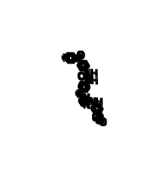 CN1CCN(C(=O)c2ccc(NC(=O)Nc3ccc(N(C)c4ccnc(Nc5ccc(CS(C)(=O)=O)cc5)n4)cc3)cc2)CC1